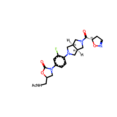 CC(=O)NCC1CN(c2ccc(N3C[C@H]4CN(C(=O)[C@@H]5CC=NO5)C[C@H]4C3)c(F)c2)C(=O)O1